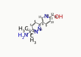 CC(C)(N)c1ccc(-c2ccc(CO)nc2)nn1